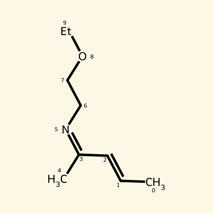 CC=CC(C)=NCCOCC